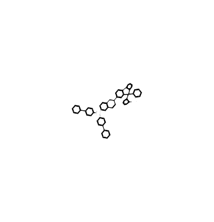 C1=CC(c2ccc3c(c2)C2(c4ccccc4Oc4ccccc42)c2ccccc2-3)Cc2ccc(N(c3ccc(-c4ccccc4)cc3)c3ccc(-c4ccccc4)cc3)cc21